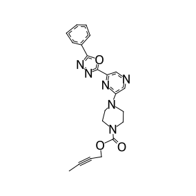 CC#CCOC(=O)N1CCN(c2cncc(-c3nnc(-c4ccccc4)o3)n2)CC1